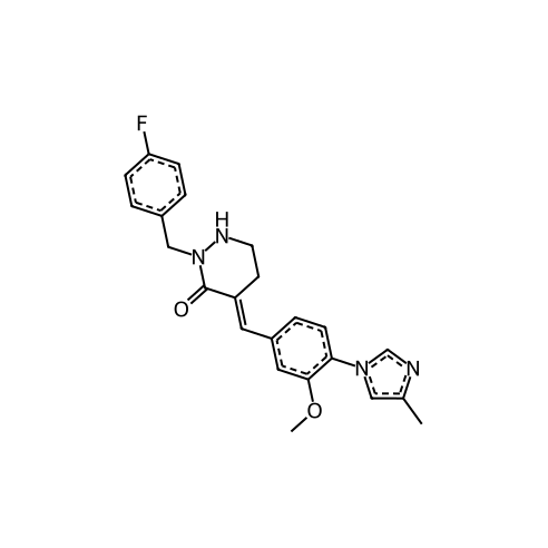 COc1cc(/C=C2\CCNN(Cc3ccc(F)cc3)C2=O)ccc1-n1cnc(C)c1